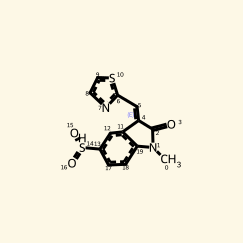 CN1C(=O)/C(=C/c2nccs2)c2cc([SH](=O)=O)ccc21